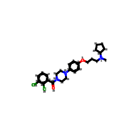 CN(CCCOc1ccc(N2CCN(C(=O)c3cccc(Cl)c3Cl)CC2)cc1)C1CCCC1